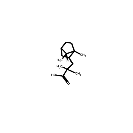 CC(C)(CC1CC2CCC1(C)C2(C)C)C(=O)O